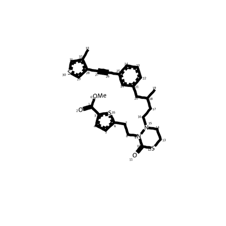 COC(=O)c1ccc(CCN2C(=O)SCCN2CCC(C)Cc2cccc(C#Cc3cscc3C)c2)s1